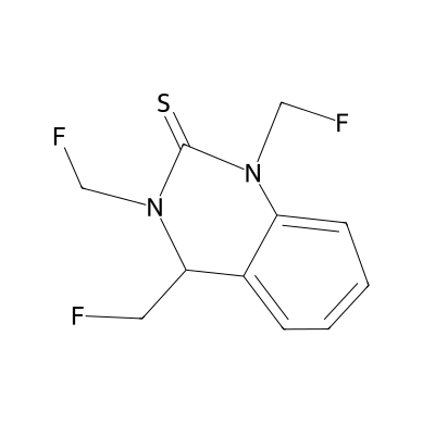 FCC1c2ccccc2N(CF)C(=S)N1CF